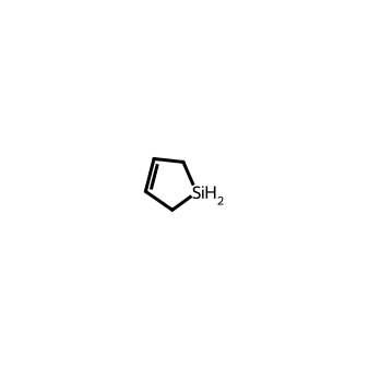 C1=CC[SiH2]C1